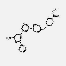 CC(C)(C)OC(=O)N1CCN(Cc2ccc(-c3cncc(-c4cc(N)nc(-c5ccccn5)c4)c3)cc2)CC1